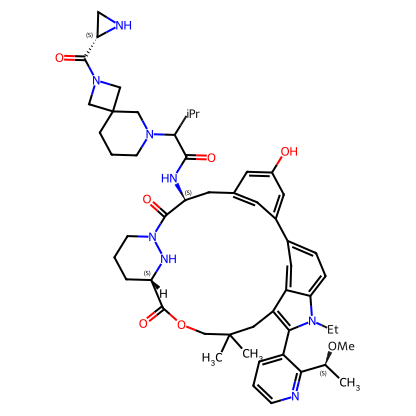 CCn1c(-c2cccnc2[C@H](C)OC)c2c3cc(ccc31)-c1cc(O)cc(c1)C[C@H](NC(=O)C(C(C)C)N1CCCC3(CN(C(=O)[C@@H]4CN4)C3)C1)C(=O)N1CCC[C@H](N1)C(=O)OCC(C)(C)C2